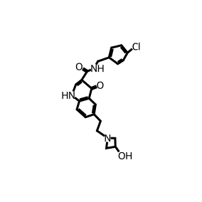 O=C(NCc1ccc(Cl)cc1)c1c[nH]c2ccc(CCN3CC(O)C3)cc2c1=O